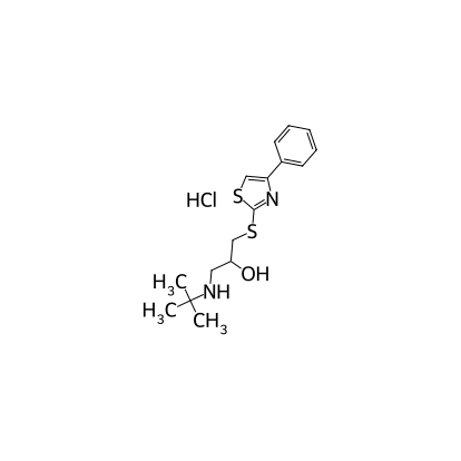 CC(C)(C)NCC(O)CSc1nc(-c2ccccc2)cs1.Cl